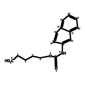 O=C(O)CCCCOC(=O)Nc1cc2ccccc2cn1